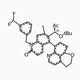 CC(=O)[C@@H](OC(C)(C)C)c1c(C)cc2c(ccc(=O)n2Cc2cccc(C(F)F)c2)c1-c1ccc2c3c(ccnc13)CCO2